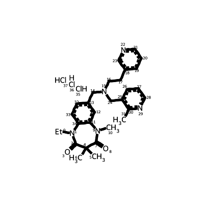 CCN1C(=O)C(C)(C)C(=O)N(C)c2cc(CN(CCc3cccnc3)Cc3cccnc3C)ccc21.Cl.Cl.Cl